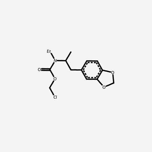 CCN(C(=O)OCCl)C(C)Cc1ccc2c(c1)OCO2